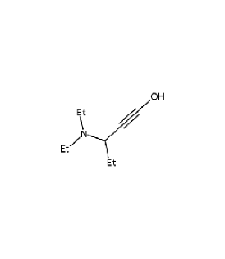 CCC(C#CO)N(CC)CC